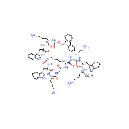 NCCCC[C@@H](NC(=O)[C@@H](Cc1c[nH]c2ccccc12)NC(=O)[C@@H](CCCCN)NC(=O)CNC(=O)CNC(=O)[C@@H](CCCCN)NC(=O)[C@@H](Cc1c[nH]c2ccccc12)NC(=O)[C@@H](CCCCN)NC(=O)[C@@H](Cc1c[nH]c2ccccc12)NC(=O)[C@@H](CCCCN)NC(=O)OCC1c2ccccc2-c2ccccc21)C(=O)O